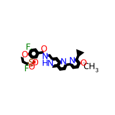 COc1ccc(-c2ccc3cnc(CNC(=O)c4cc(F)c5c(c4)S(=O)(=O)[C@@H](F)CCO5)cc3n2)nc1C1CC1